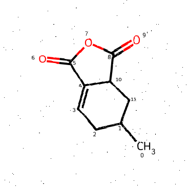 CC1CC=C2C(=O)OC(=O)C2C1